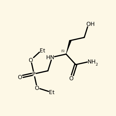 CCOP(=O)(CN[C@@H](CCO)C(N)=O)OCC